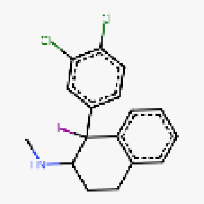 CNC1CCc2ccccc2C1(I)c1ccc(Cl)c(Cl)c1